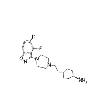 N[C@H]1CC[C@H](CCN2CCN(c3noc4ccc(F)c(F)c34)CC2)CC1